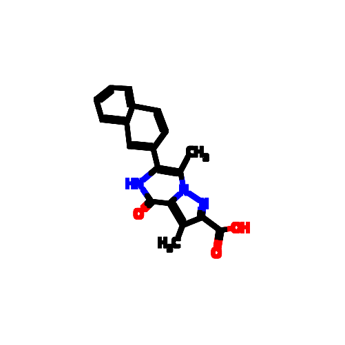 Cc1c(C(=O)O)nn2c(C)c(-c3ccc4ccccc4c3)[nH]c(=O)c12